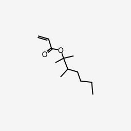 C=CC(=O)OC(C)(C)C(C)CCCC